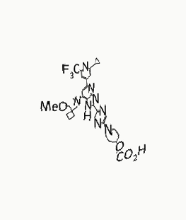 COCC1(CN(C)c2cc(-c3cc(C4CC4)nc(C(F)(F)F)c3)nc3nc(-c4cnc(N5CCC(OCC(=O)O)CC5)cn4)[nH]c23)CCC1